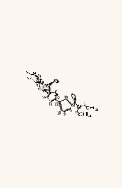 CCN(CC)C(=O)c1cccc(-c2ccc(N3C[C@@]4(CN5CCC4CC5)OC3=O)s2)c1